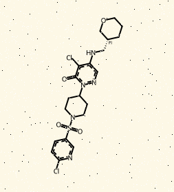 O=c1c(Cl)c(NC[C@H]2CCCOC2)cnn1C1CCN(S(=O)(=O)c2ccc(Cl)nc2)CC1